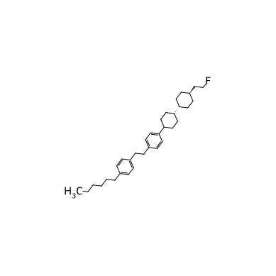 CCCCCCc1ccc(CCc2ccc(C3CCC([C@H]4CC[C@H](CCF)CC4)CC3)cc2)cc1